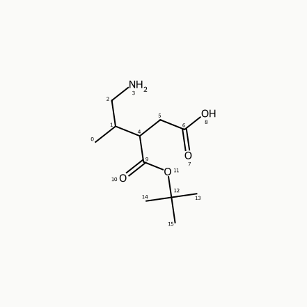 CC(CN)C(CC(=O)O)C(=O)OC(C)(C)C